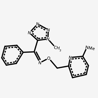 CNc1cccc(CON=C(c2ccccc2)c2nnnn2C)n1